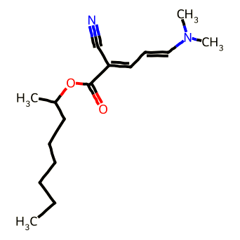 CCCCCCC(C)OC(=O)/C(C#N)=C/C=C/N(C)C